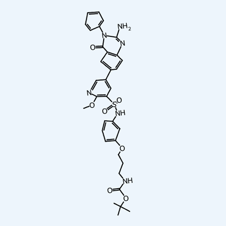 COc1ncc(-c2ccc3nc(N)n(-c4ccccc4)c(=O)c3c2)cc1S(=O)(=O)Nc1cccc(OCCCNC(=O)OC(C)(C)C)c1